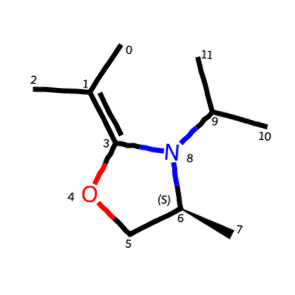 CC(C)=C1OC[C@H](C)N1C(C)C